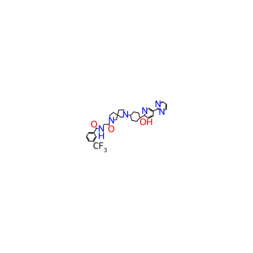 O=C(NCC(=O)N1CCC2(CCN(C3CCC(O)(c4ccc(-c5ncccn5)cn4)CC3)C2)C1)c1cccc(C(F)(F)F)c1